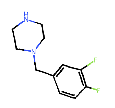 Fc1ccc(CN2CCNCC2)cc1F